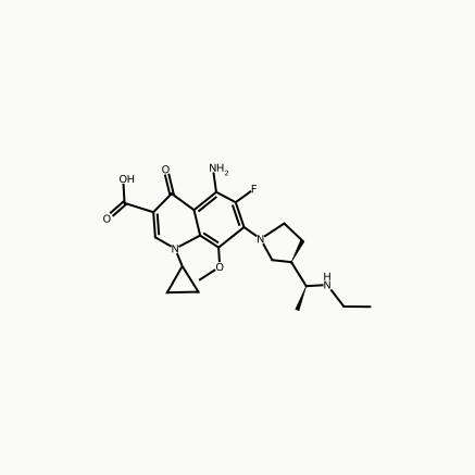 CCN[C@@H](C)[C@@H]1CCN(c2c(F)c(N)c3c(=O)c(C(=O)O)cn(C4CC4)c3c2OC)C1